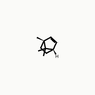 CC1(C)[C@@H]2[C]=C[C@@]1(C)CC2